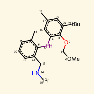 COCOc1c(Pc2c(C)cccc2CNC(C)C)cc(C)cc1C(C)(C)C